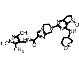 Cc1nn(C)c(C)c1CNC(=O)c1cn2c(n1)CN(c1nc3c(c(NC4CCOCC4)n1)[S+]([O-])CC3)CC2